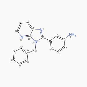 Nc1cccc(-c2nc3cccnc3n2Cc2ccccc2)c1